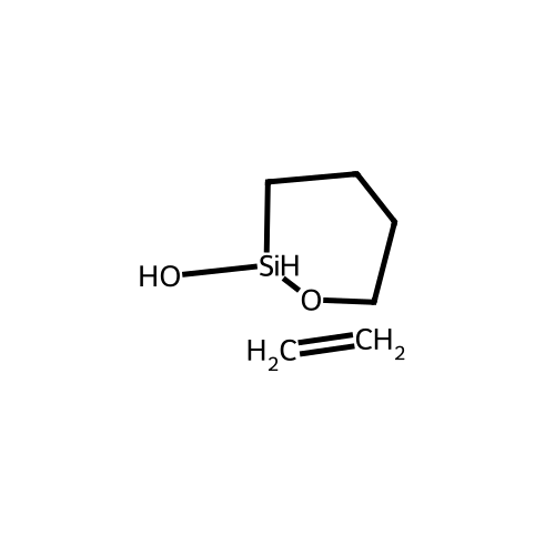 C=C.O[SiH]1CCCCO1